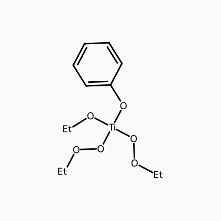 CCO[O][Ti]([O]CC)([O]OCC)[O]c1ccccc1